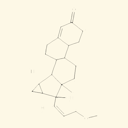 COC/C=C\C1(O)[C@H]2C[C@H]2C2C3CCC4=CC(=O)CCC4C3CCC21C